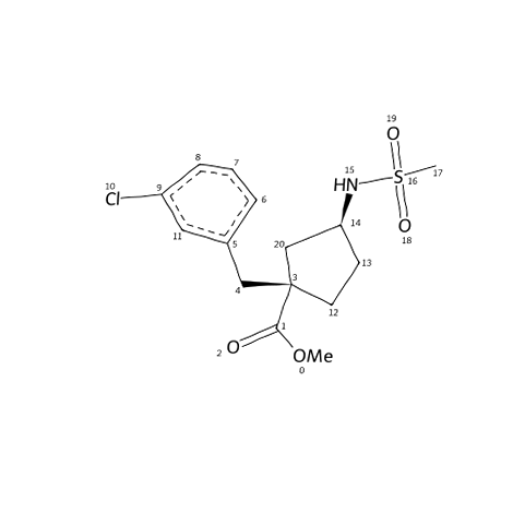 COC(=O)[C@@]1(Cc2cccc(Cl)c2)CC[C@H](NS(C)(=O)=O)C1